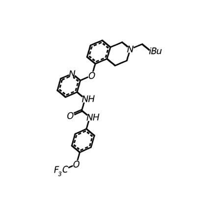 CCC(C)CN1CCc2c(cccc2Oc2ncccc2NC(=O)Nc2ccc(OC(F)(F)F)cc2)C1